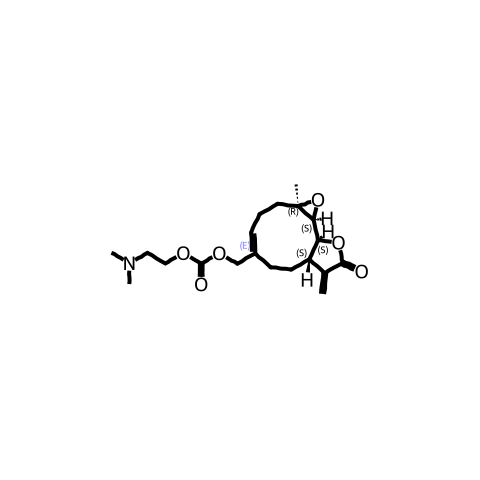 C=C1C(=O)O[C@H]2[C@H]1CC/C(COC(=O)OCCN(C)C)=C\CC[C@@]1(C)O[C@@H]21